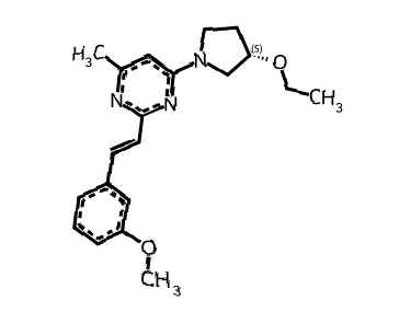 CCO[C@H]1CCN(c2cc(C)nc(C=Cc3cccc(OC)c3)n2)C1